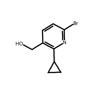 OCc1ccc(Br)nc1C1CC1